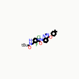 CC1(C)CCC(Oc2ncnc3c(NC(=O)c4c(Cl)ccc(CNC(=O)C(C)(C)C)c4F)cccc23)CC1